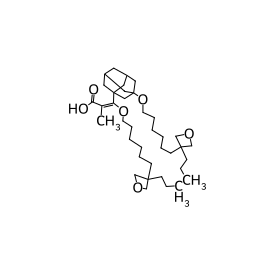 CCCC1(CCCCCCOC(=C(C)C(=O)O)C23CC4CC(CC(OCCCCCCC5(CCC)COC5)(C4)C2)C3)COC1